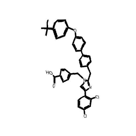 CC(C)(C)c1ccc(Oc2ccc(-c3ccc(Cc4nc(-c5ccc(Cl)cc5Cl)cn4Cc4ccc(C(=O)O)cc4)cc3)cc2)cc1